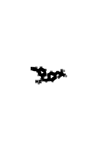 CN(Cc1ccc(OC(F)(F)F)cc1)c1cccc(C#N)c1